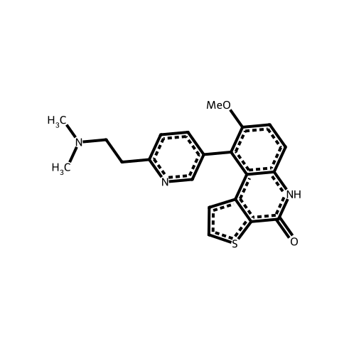 COc1ccc2[nH]c(=O)c3sccc3c2c1-c1ccc(CCN(C)C)nc1